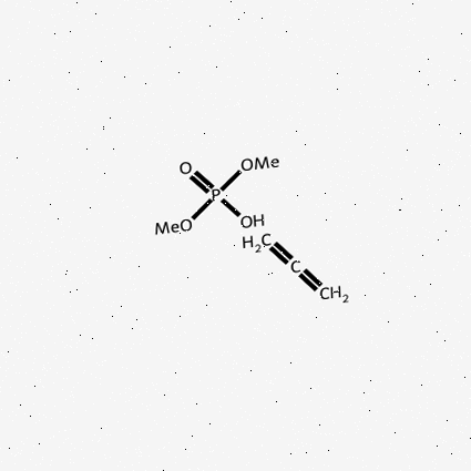 C=C=C.COP(=O)(O)OC